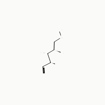 CNC[C@@H](O)[C@@H](O)[C@@H](O)C=O